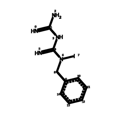 N=C(N)NC(=N)N(I)Cc1ccccc1